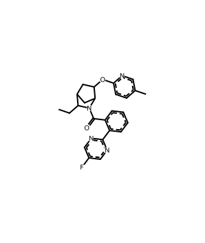 CCC1C2CC(Oc3ccc(C)cn3)C(C2)N1C(=O)c1ccccc1-c1ncc(F)cn1